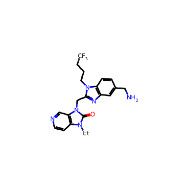 CCn1c(=O)n(Cc2nc3cc(CN)ccc3n2CCCC(F)(F)F)c2cnccc21